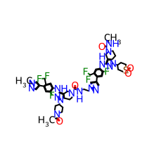 CNC(=O)N1CCc2c(c(Nc3cc(C(F)F)c(-c4cnn(CCNC(=O)N5CCc6c(c(Nc7cc(C(F)F)c(-c8cnn(C)c8)cc7F)nn6C6CCN(C(C)=O)CC6)C5)c4)cc3F)nn2C2CCS(=O)(=O)CC2)C1